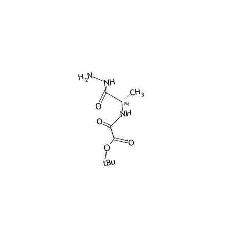 C[C@H](NC(=O)C(=O)OC(C)(C)C)C(=O)NN